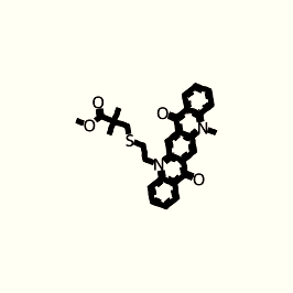 COC(=O)C(C)(C)CSCCn1c2ccccc2c(=O)c2cc3c(cc21)c(=O)c1ccccc1n3C